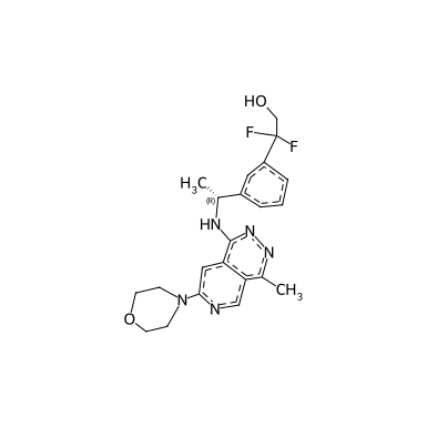 Cc1nnc(N[C@H](C)c2cccc(C(F)(F)CO)c2)c2cc(N3CCOCC3)ncc12